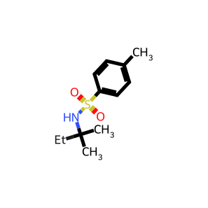 CCC(C)(C)NS(=O)(=O)c1ccc(C)cc1